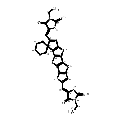 CCN1C(=O)/C(=C/C2=Cc3sc4c(sc5c6sc(/C=C7\SC(=S)N(CC)C7=O)cc6sc45)c3C23CCCCC3)SC1=S